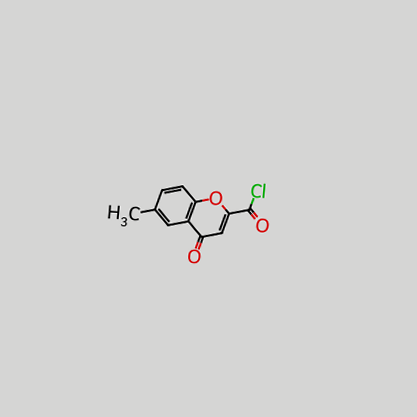 Cc1ccc2oc(C(=O)Cl)cc(=O)c2c1